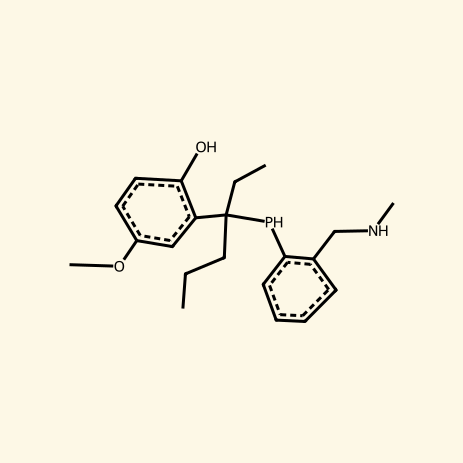 CCCC(CC)(Pc1ccccc1CNC)c1cc(OC)ccc1O